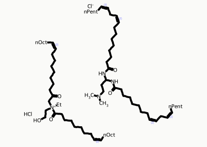 CCCCC/C=C\C/C=C\CCCCCCCC(=O)NC(CCN(C)C)NC(=O)CCCCCCC/C=C\C/C=C\CCCCC.CCCCCCCC/C=C\CCCCCCCC(=O)C[N+](CC)(CCO)C(=O)CCCCCCC/C=C\CCCCCCCC.Cl.[Cl-]